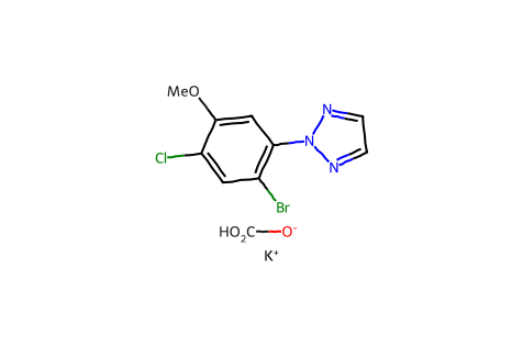 COc1cc(-n2nccn2)c(Br)cc1Cl.O=C([O-])O.[K+]